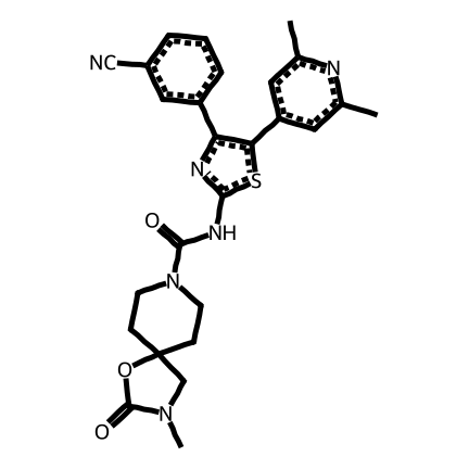 Cc1cc(-c2sc(NC(=O)N3CCC4(CC3)CN(C)C(=O)O4)nc2-c2cccc(C#N)c2)cc(C)n1